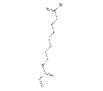 C=CC(=O)OCCCCCCCC(=O)O